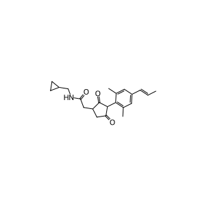 C/C=C/c1cc(C)c(C2C(=O)CC(CC(=O)NCC3CC3)C2=O)c(C)c1